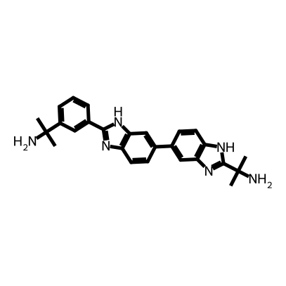 CC(C)(N)c1cccc(-c2nc3ccc(-c4ccc5[nH]c(C(C)(C)N)nc5c4)cc3[nH]2)c1